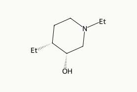 CC[C@@H]1CCN(CC)C[C@@H]1O